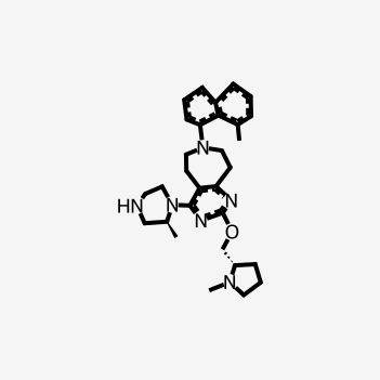 Cc1cccc2cccc(N3CCc4nc(OC[C@@H]5CCCN5C)nc(N5CCNC[C@@H]5C)c4CC3)c12